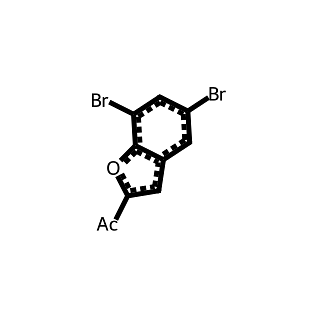 CC(=O)c1cc2cc(Br)cc(Br)c2o1